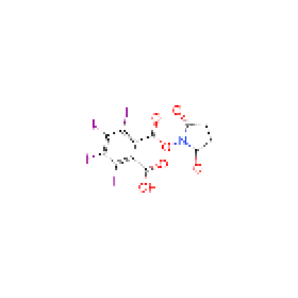 O=C(O)c1c(I)c(I)c(I)c(I)c1C(=O)ON1C(=O)CCC1=O